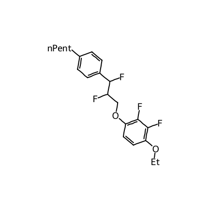 CCCCCc1ccc(C(F)C(F)COc2ccc(OCC)c(F)c2F)cc1